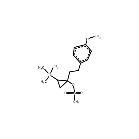 COc1ccc(CCC2(OS(C)(=O)=O)CC2[Si](C)(C)C)cc1